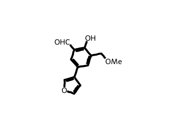 COCc1cc(-c2ccoc2)cc(C=O)c1O